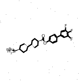 CCCC[SiH2][C@H]1CC[C@H]([C@H]2CC[C@H](C(=O)Oc3ccc(-c4cc(F)c(F)c(F)c4)cc3)CC2)CC1